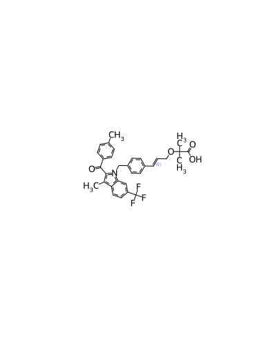 Cc1ccc(C(=O)c2c(C)c3ccc(C(F)(F)F)cc3n2Cc2ccc(/C=C/COC(C)(C)C(=O)O)cc2)cc1